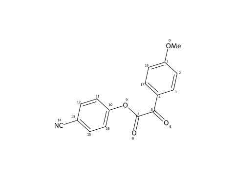 COc1ccc(C(=O)C(=O)Oc2ccc(C#N)cc2)cc1